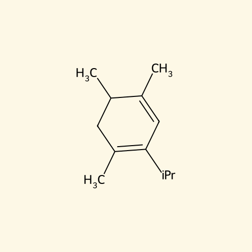 CC1=CC(C(C)C)=C(C)CC1C